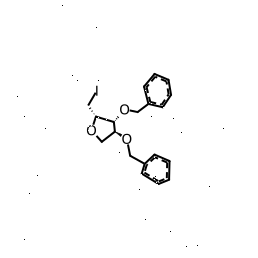 IC[C@H]1OC[C@H](OCc2ccccc2)[C@H]1OCc1ccccc1